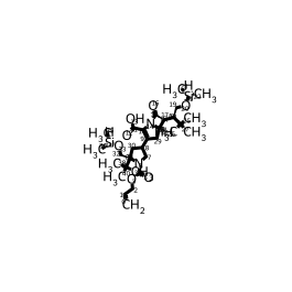 C=CCOC(=O)N1CC(C2=C(C(=O)O)N3C(=O)[C@@H]([C@@H](CO[SiH](C)C)C(C)(C)C)[C@H]3C2)C[C@@]1(CO[SiH](C)C)C(C)(C)C